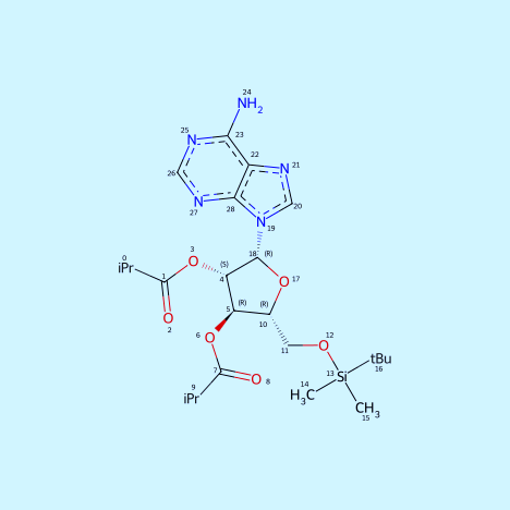 CC(C)C(=O)O[C@H]1[C@H](OC(=O)C(C)C)[C@@H](CO[Si](C)(C)C(C)(C)C)O[C@H]1n1cnc2c(N)ncnc21